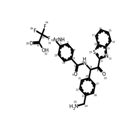 CC(=O)Nc1ccc(C(=O)NC(C(=O)c2nc3ccccc3s2)c2ccc(CN)cc2)cc1.O=C(O)C(F)(F)F